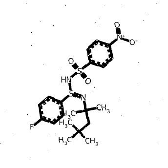 CC(C)(C)CC(C)(C)N=S(NS(=O)(=O)c1ccc([N+](=O)[O-])cc1)c1ccc(F)cc1